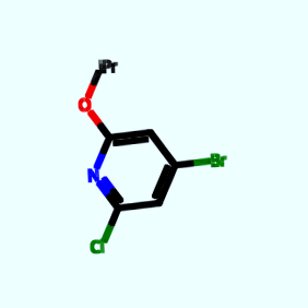 CC(C)Oc1cc(Br)cc(Cl)n1